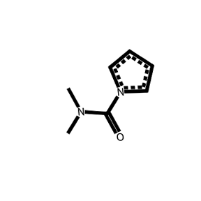 CN(C)C(=O)n1cccc1